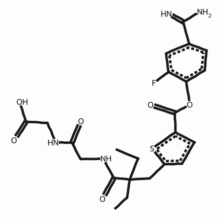 CCC(CC)(Cc1ccc(C(=O)Oc2ccc(C(=N)N)cc2F)s1)C(=O)NCC(=O)NCC(=O)O